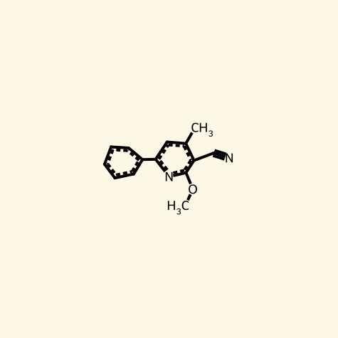 COc1nc(-c2ccccc2)cc(C)c1C#N